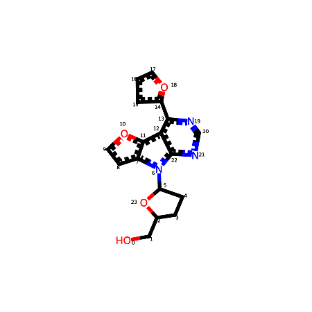 OCC1CCC(n2c3ccoc3c3c(-c4ccco4)ncnc32)O1